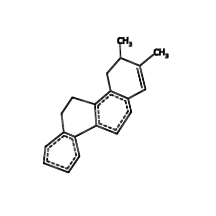 CC1=Cc2ccc3c(c2CC1C)CCc1ccccc1-3